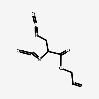 C=CCOC(=O)C(CN=C=O)N=C=O